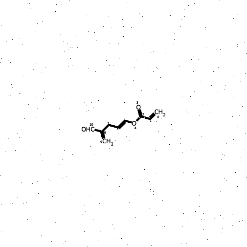 C=CC(=O)OC=CCC(=C)C=O